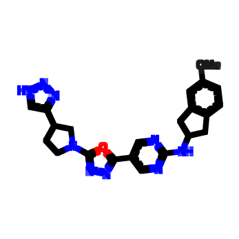 COc1ccc2c(c1)CC(Nc1ncc(-c3nnc(N4CCC(c5c[nH]nn5)C4)o3)cn1)C2